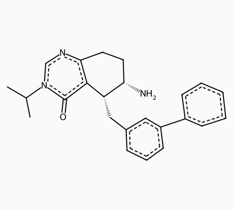 CC(C)n1cnc2c(c1=O)[C@@H](Cc1cccc(-c3ccccc3)c1)[C@@H](N)CC2